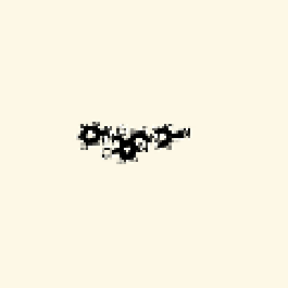 N#CC1CCN(c2ccc3c(C(=O)NCC4CCCCC4)c(Cl)ccc3n2)CC1